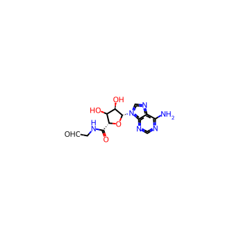 Nc1ncnc2c1ncn2[C@@H]1O[C@H](C(=O)NCC=O)C(O)[C@H]1O